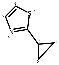 [CH]1CC1c1nccs1